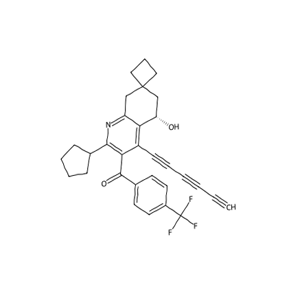 C#CC#CC#Cc1c(C(=O)c2ccc(C(F)(F)F)cc2)c(C2CCCC2)nc2c1[C@@H](O)CC1(CCC1)C2